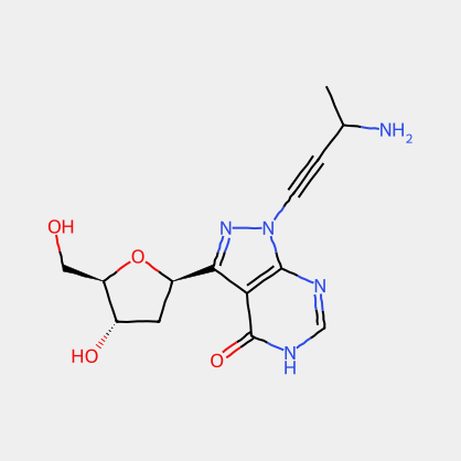 CC(N)C#Cn1nc([C@H]2C[C@H](O)[C@@H](CO)O2)c2c(=O)[nH]cnc21